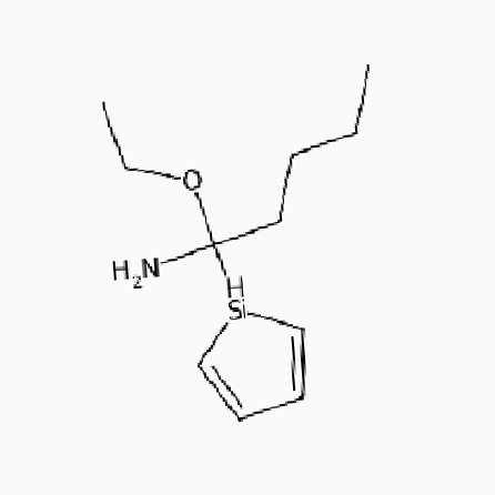 CCCCC(N)(OCC)[SiH]1C=CC=C1